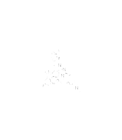 C=CC(=O)N1C[C@H](C)N(c2nc(=O)n3c4c(c(-c5ccc(F)cc5F)c(Cl)cc24)OC[C@H]3COC2CCN(C)C2)C[C@H]1C